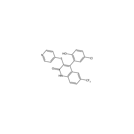 O=c1[nH]c2ccc(C(F)(F)F)cc2c(-c2cc(Cl)ccc2O)c1Sc1ccncc1